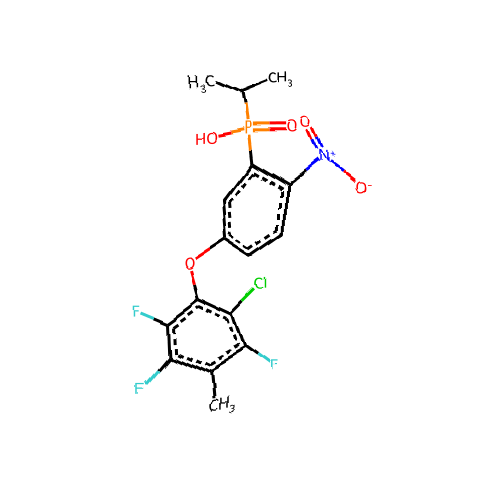 Cc1c(F)c(F)c(Oc2ccc([N+](=O)[O-])c(P(=O)(O)C(C)C)c2)c(Cl)c1F